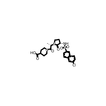 C[C@@H](C(=O)N1CCC(C(=O)O)CC1)N1CC[C@H](NS(=O)(=O)c2ccc3cc(Cl)ccc3c2)C1=O